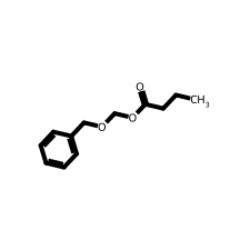 CCCC(=O)OCOCc1ccccc1